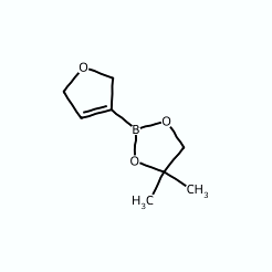 CC1(C)COB(C2=CCOC2)O1